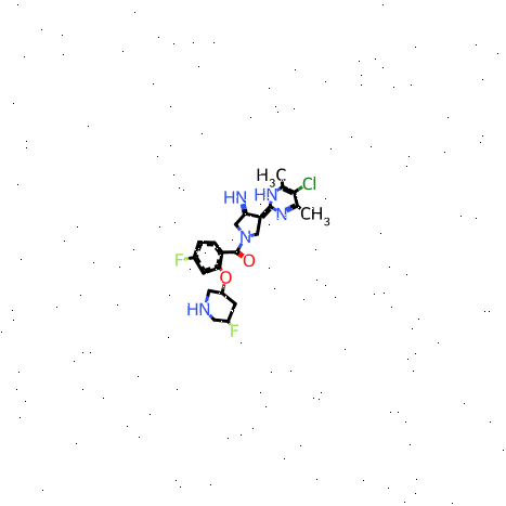 CC1=N/C(=C2\CN(C(=O)c3ccc(F)cc3OC3CNCC(F)C3)CC2=N)NC(C)=C1Cl